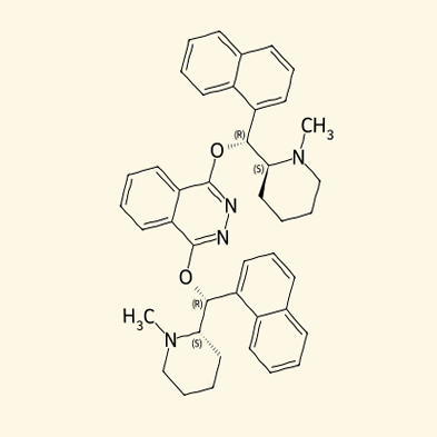 CN1CCCC[C@H]1[C@H](Oc1nnc(O[C@H](c2cccc3ccccc23)[C@@H]2CCCCN2C)c2ccccc12)c1cccc2ccccc12